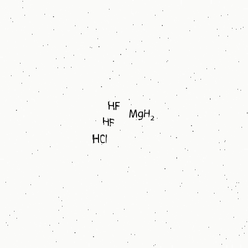 Cl.F.F.[MgH2]